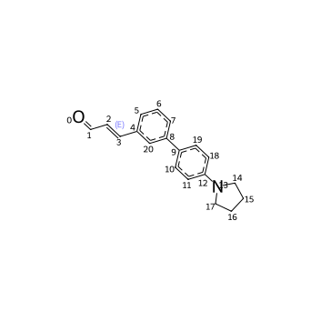 O=C/C=C/c1cccc(-c2ccc(N3CCCC3)cc2)c1